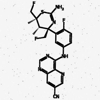 C[C@@H]1[C@@](C)(CF)SC(N)=N[C@]1(CF)c1cc(Nc2ncnc3cc(C#N)cnc23)ccc1F